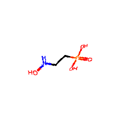 O=P(O)(O)CCNO